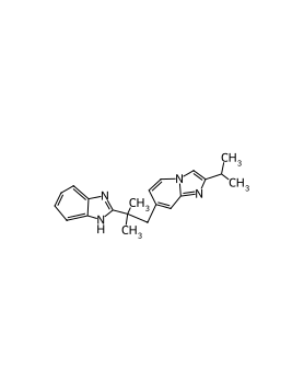 CC(C)c1cn2ccc(CC(C)(C)c3nc4ccccc4[nH]3)cc2n1